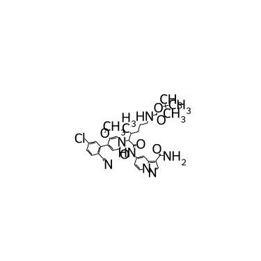 COc1cn(C(C(=O)Nc2ccn3ncc(C(N)=O)c3c2)C(C)CCCNC(=O)OC(C)(C)C)c(=O)cc1-c1cc(Cl)ccc1C#N